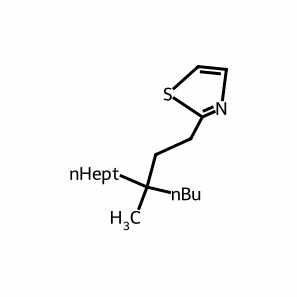 CCCCCCCC(C)(CCCC)CCc1nccs1